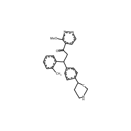 COc1nnccc1C(=O)CC(c1ccc(C2CCNCC2)cc1)c1ccccc1C